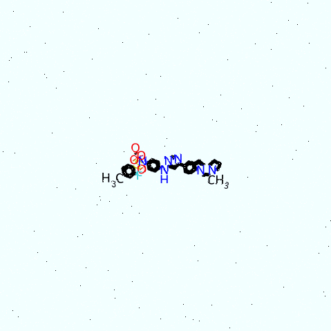 Cc1ccc(S(=O)(=O)N(OC=O)c2ccc(Nc3cc(-c4ccc5c(ccn5CC(C)N5CCCC5)c4)ncn3)cc2)c(F)c1